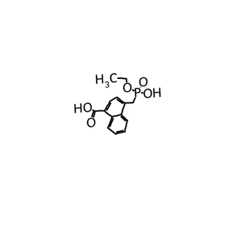 CCOP(=O)(O)Cc1ccc(C(=O)O)c2ccccc12